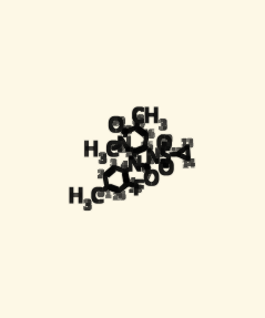 Cc1ccc(-n2c(=O)n(S(=O)(=O)C3CC3)c3cc(C)c(=O)n(C)c32)c(F)c1